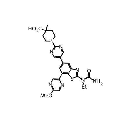 CCN(C(N)=O)c1nc2cc(-c3cnc(N4CCC(C)(C(=O)O)CC4)nc3)cc(-c3cnc(OC)cn3)c2s1